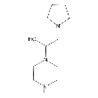 OC(CN1CCCC1)N1CCNCC1